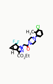 CCOC(=O)c1nn(CC(=O)N2CCN(c3cccc(Cl)c3C)CC2)c2c1[C@H]1CC1C2(F)F